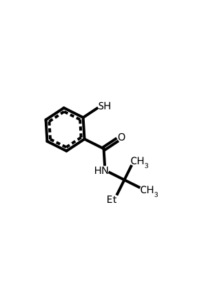 CCC(C)(C)NC(=O)c1ccccc1S